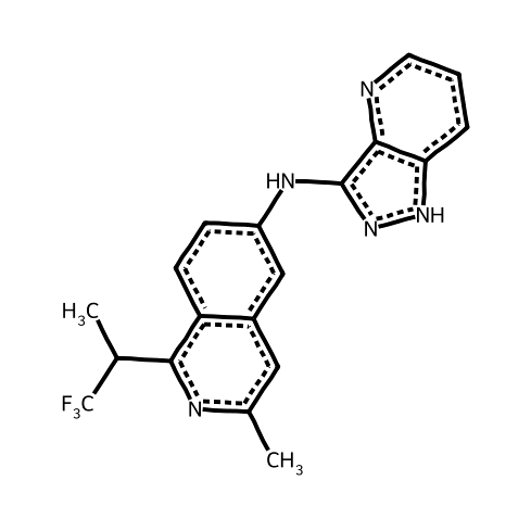 Cc1cc2cc(Nc3n[nH]c4cccnc34)ccc2c(C(C)C(F)(F)F)n1